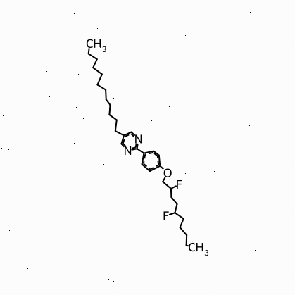 CCCCCCCCCCCCc1cnc(-c2ccc(OCC(F)CCC(F)CCCCC)cc2)nc1